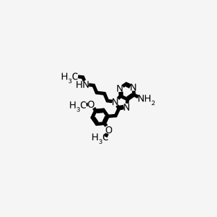 CCNCCCCn1c(Cc2cc(OC)ccc2OC)nc2c(N)ncnc21